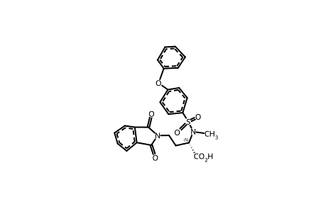 CN([C@@H](CCN1C(=O)c2ccccc2C1=O)C(=O)O)S(=O)(=O)c1ccc(Oc2ccccc2)cc1